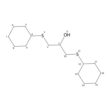 OC(CSC1CCCCC1)CSC1CCCCC1